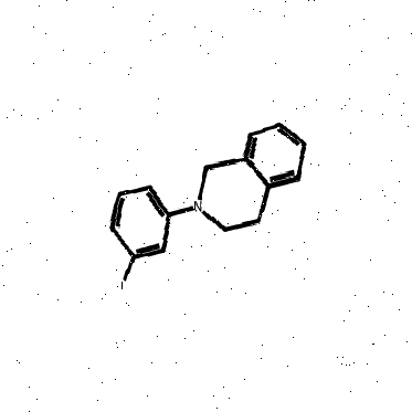 Ic1cccc(N2CCc3ccccc3C2)c1